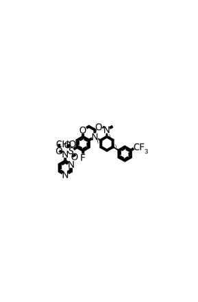 CN(C)[C@H]1C[C@@H](c2cccc(C(F)(F)F)c2)CC[C@@H]1N1C(=O)COc2cc(S(=O)(=O)N(OC=O)c3ccncn3)c(F)cc21